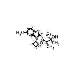 Cc1ccc2nc(NC(=O)[C@@H](C)C(C)(C)O)n(C3CCC3)c2n1